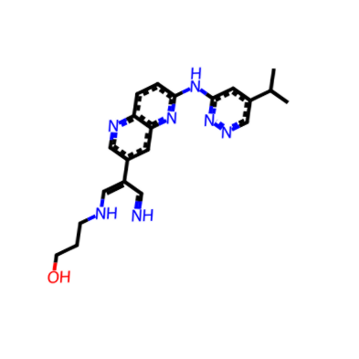 CC(C)c1cnnc(Nc2ccc3ncc(/C(C=N)=C/NCCCO)cc3n2)c1